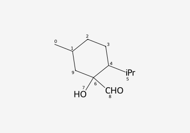 CC1CCC(C(C)C)C(O)(C=O)C1